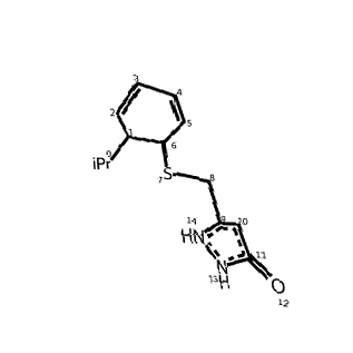 CC(C)C1C=CC=CC1SCc1cc(=O)[nH][nH]1